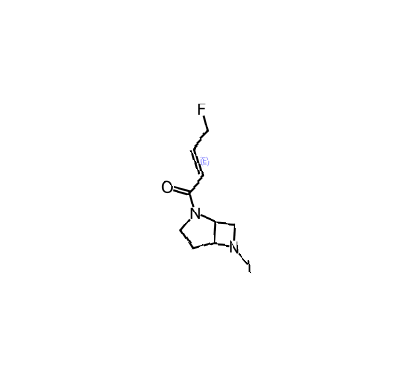 O=C(/C=C/CF)N1CCC2C1CN2I